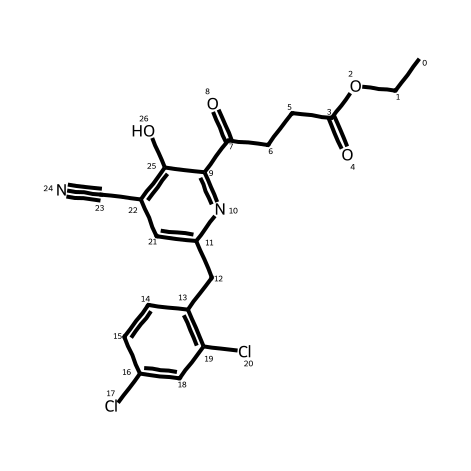 CCOC(=O)CCC(=O)c1nc(Cc2ccc(Cl)cc2Cl)cc(C#N)c1O